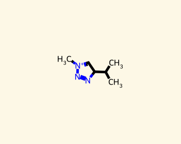 CC(C)C1C=[N+](C)N=N1